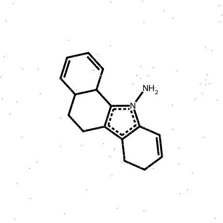 Nn1c2c(c3c1C1C=CC=CC1CC3)CCC=C2